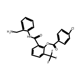 NCc1ccccc1NC(=O)c1cccc(C(F)(F)F)c1OC(=O)c1ccc(Cl)cc1